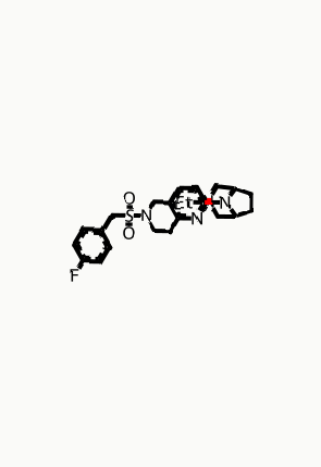 CCN1CC2CCC(C1)N2c1ccc2c(n1)CCN(S(=O)(=O)Cc1ccc(F)cc1)C2